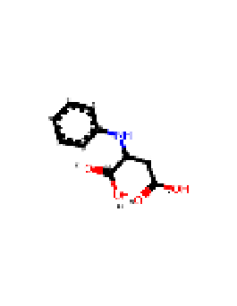 O=C(O)CC(Nc1ccccc1)C(=O)O